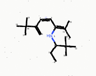 C=C(/C=C\C(NC(CC)C(C)(C)C)=C(C)C)C(C)(C)C